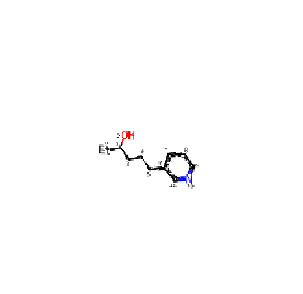 CC[C@@H](O)CCCc1cccnc1